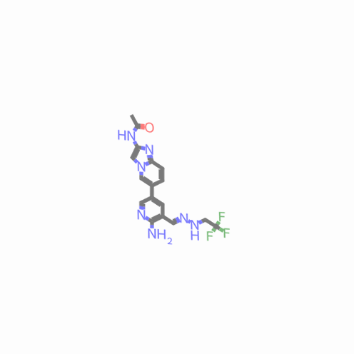 CC(=O)Nc1cn2cc(-c3cnc(N)c(C=NNCC(F)(F)F)c3)ccc2n1